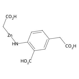 O=C(O)[CH2][Zn][NH]c1ccc(CC(=O)O)cc1C(=O)O